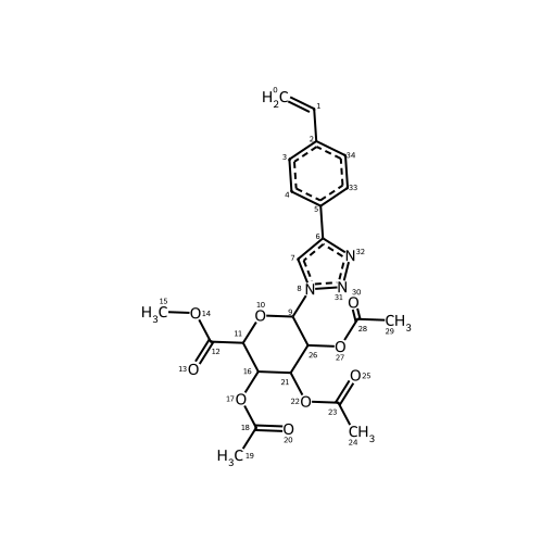 C=Cc1ccc(-c2cn(C3OC(C(=O)OC)C(OC(C)=O)C(OC(C)=O)C3OC(C)=O)nn2)cc1